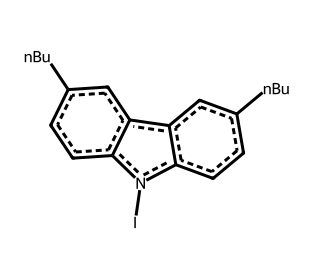 CCCCc1ccc2c(c1)c1cc(CCCC)ccc1n2I